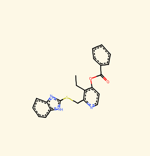 CCc1c(OC(=O)c2ccccc2)ccnc1CSc1nc2ccccc2[nH]1